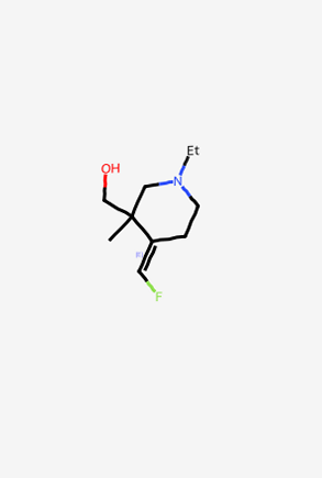 CCN1CC/C(=C\F)C(C)(CO)C1